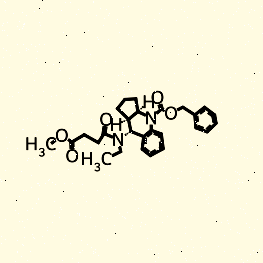 CCN(C(=O)CCC(=O)OC)[C@H]1c2ccccc2N(C(=O)OCc2ccccc2)[C@@H]2CCC[C@@H]21